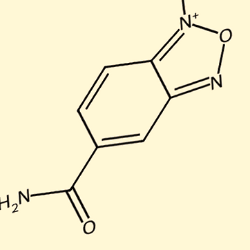 NC(=O)c1ccc2c(c1)no[n+]2[O-]